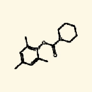 Cc1cc(C)[n+](OC(=O)N2CCCCC2)c(C)c1